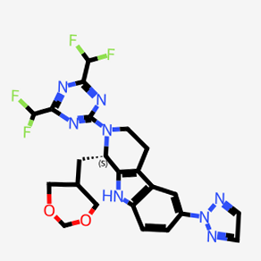 FC(F)c1nc(C(F)F)nc(N2CCc3c([nH]c4ccc(-n5nccn5)cc34)[C@@H]2CC2COCOC2)n1